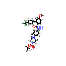 COc1ccc(C(=O)Nc2ccc(N3CCN(C(=O)OC(C)(C)C)CC3)cc2)c(-c2ccc(C(F)(F)F)cc2)c1